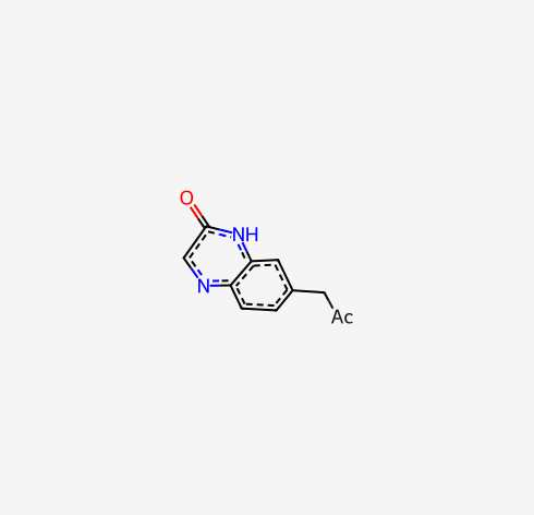 CC(=O)Cc1ccc2ncc(=O)[nH]c2c1